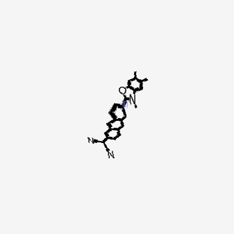 Cc1cc2c(cc1C)N(C)/C(=c1/ccc3cc4cc(=C(C#N)C#N)ccc4cc3c1)O2